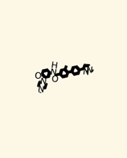 COc1ccc(NC(=O)c2ccc(-c3ccc(-c4ccn(C)n4)cc3)c(C)c2)cc1N1CCN(C)CC1